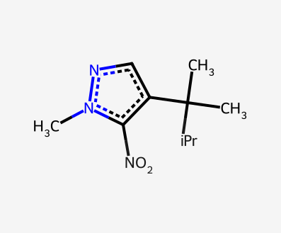 CC(C)C(C)(C)c1cnn(C)c1[N+](=O)[O-]